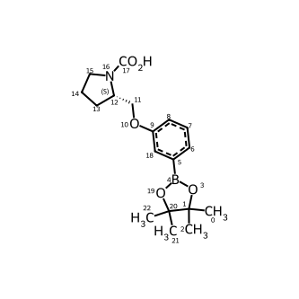 CC1(C)OB(c2cccc(OC[C@@H]3CCCN3C(=O)O)c2)OC1(C)C